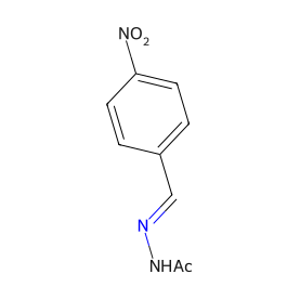 [CH2]C(=O)NN=Cc1ccc([N+](=O)[O-])cc1